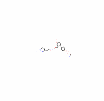 COc1ccc(-c2ccc(S(=O)(=O)C3CNCCO3)cc2)c2cc(CNC(=O)C=Cc3ccc(N)nc3)oc12